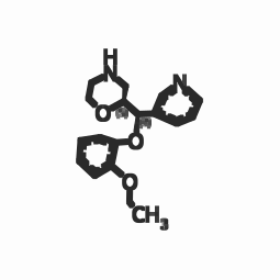 CCOc1ccccc1O[C@H](c1cccnc1)[C@@H]1CNCCO1